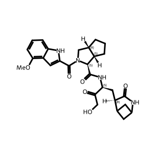 COc1cccc2[nH]c(C(=O)N3C[C@@H]4CCC[C@@H]4[C@H]3C(=O)N[C@@H](C[C@H]3C(=O)NC4CC3C4)C(=O)CO)cc12